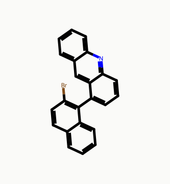 Brc1ccc2ccccc2c1-c1cccc2nc3ccccc3cc12